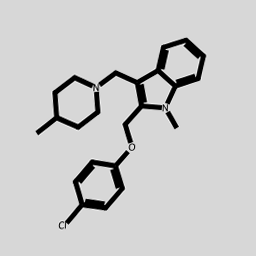 CC1CCN(Cc2c(COc3ccc(Cl)cc3)n(C)c3ccccc23)CC1